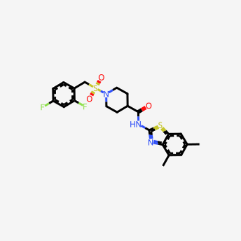 Cc1cc(C)c2nc(NC(=O)C3CCN(S(=O)(=O)Cc4ccc(F)cc4F)CC3)sc2c1